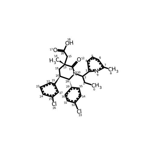 CCC(c1cccc(C)n1)N1C(=O)[C@@](C)(CC(=O)O)C[C@H](c2cccc(Cl)c2)[C@H]1c1ccc(Cl)cc1